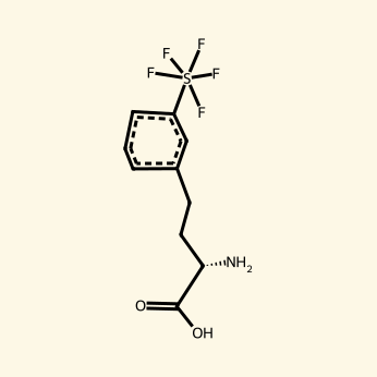 N[C@@H](CCc1cccc(S(F)(F)(F)(F)F)c1)C(=O)O